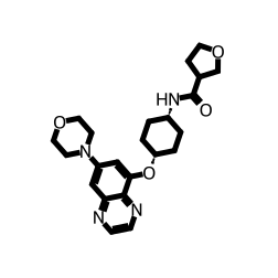 O=C(N[C@H]1CC[C@@H](Oc2cc(N3CCOCC3)cc3nccnc23)CC1)C1CCOC1